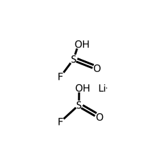 O=S(O)F.O=S(O)F.[Li]